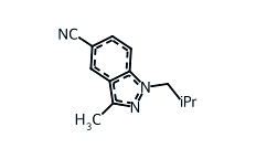 Cc1nn(CC(C)C)c2ccc(C#N)cc12